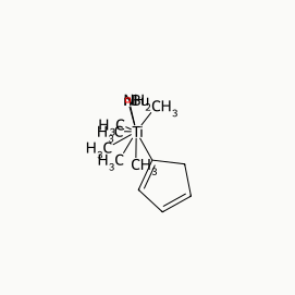 CCC[CH2][Ti]([CH3])([CH3])([CH3])([CH3])([CH3])([CH3])([NH2])[C]1=CC=CC1